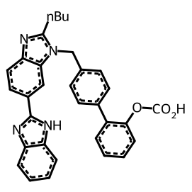 CCCCc1nc2ccc(-c3nc4ccccc4[nH]3)cc2n1Cc1ccc(-c2ccccc2OC(=O)O)cc1